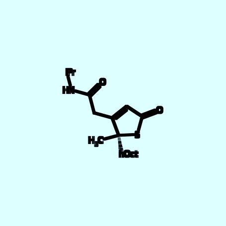 CCCCCCCC[C@@]1(C)SC(=O)C=C1CC(=O)NC(C)C